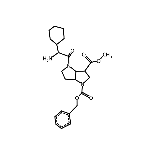 COC(=O)C1CN(C(=O)OCc2ccccc2)C2CCN(C(=O)C(N)C3CCCCC3)C12